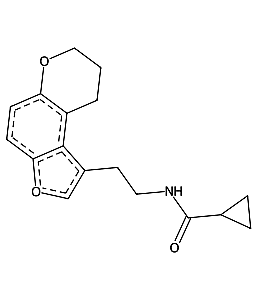 O=C(NCCc1coc2ccc3c(c12)CCCO3)C1CC1